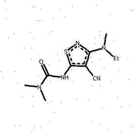 CCN(C)c1nsc(NC(=O)N(C)C)c1C#N